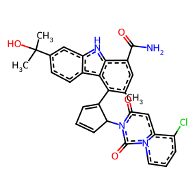 Cc1cc(C(N)=O)c2[nH]c3cc(C(C)(C)O)ccc3c2c1C1=CC=CC1n1c(=O)cc2c(Cl)cccn2c1=O